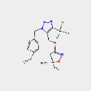 COc1ccc(Cn2nnc(C(F)(F)Br)c2CSC2=NOC(C)(C)C2)cc1